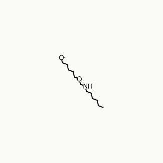 CCCCCCNCOCCCCC[O]